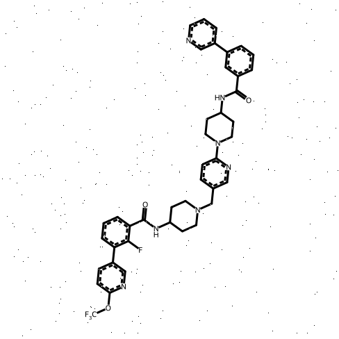 O=C(NC1CCN(c2ccc(CN3CCC(NC(=O)c4cccc(-c5ccc(OC(F)(F)F)nc5)c4F)CC3)cn2)CC1)c1cccc(-c2cccnc2)c1